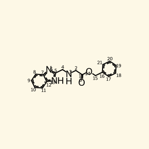 O=C(CNCc1nc2ccccc2[nH]1)OCc1ccccc1